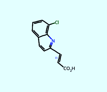 O=C(O)/C=C/c1ccc2cccc(Cl)c2n1